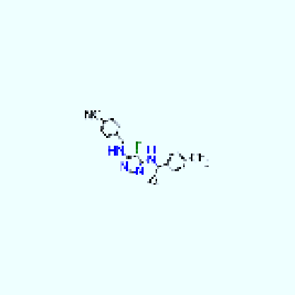 N#Cc1ccc(CNc2ncnc(NC(c3ccc(C(F)(F)F)cc3)C3CC3)c2F)cc1